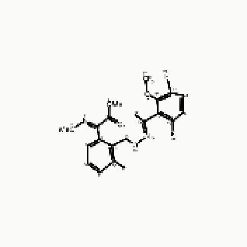 CO/N=C(/C(=O)OC)c1cccc(C)c1CO/N=C(\C)c1c(F)ccc(F)c1OC(F)(F)F